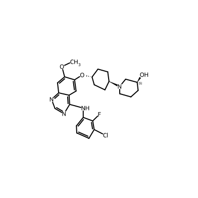 COc1cc2ncnc(Nc3cccc(Cl)c3F)c2cc1O[C@H]1CC[C@H](N2CCC[C@H](O)C2)CC1